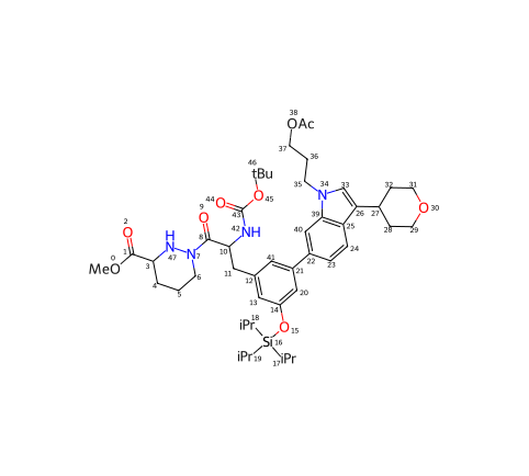 COC(=O)C1CCCN(C(=O)C(Cc2cc(O[Si](C(C)C)(C(C)C)C(C)C)cc(-c3ccc4c(C5CCOCC5)cn(CCCOC(C)=O)c4c3)c2)NC(=O)OC(C)(C)C)N1